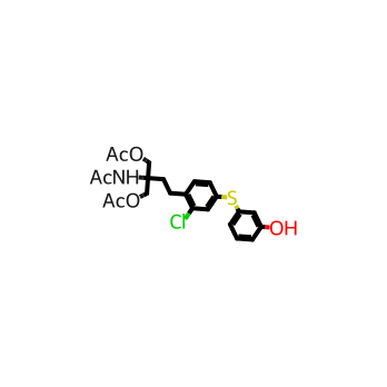 CC(=O)NC(CCc1ccc(Sc2cccc(O)c2)cc1Cl)(COC(C)=O)COC(C)=O